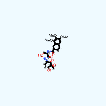 COc1cc2c(c(OC)c1OC)CC(C(=O)NC(CO)C(=O)NC(CC(C)C)C(=O)C1(CO)CO1)CC2